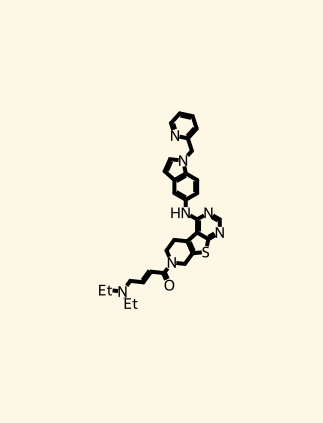 CCN(CC)CC=CC(=O)N1CCc2c(sc3ncnc(Nc4ccc5c(ccn5Cc5ccccn5)c4)c23)C1